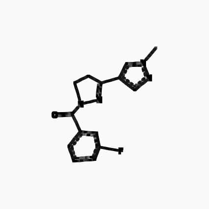 Cn1cc(C2=NN(C(=O)c3cccc(F)c3)CC2)cn1